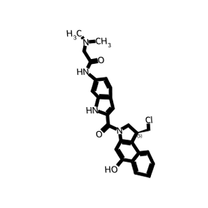 CN(C)CC(=O)Nc1ccc2cc(C(=O)N3C[C@@H](CCl)c4c3cc(O)c3ccccc43)[nH]c2c1